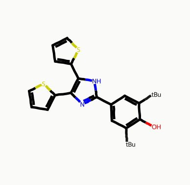 CC(C)(C)c1cc(-c2nc(-c3cccs3)c(-c3cccs3)[nH]2)cc(C(C)(C)C)c1O